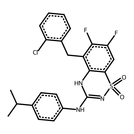 CC(C)c1ccc(NC2=NS(=O)(=O)c3cc(F)c(F)c(Cc4ccccc4Cl)c3N2)cc1